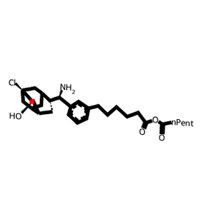 CCCCCC(=O)OC(=O)CCCCCc1cccc([C@H](N)[C@@H]2CC3C4CC2C[C@@](Cl)(C4)C[C@H]3O)c1